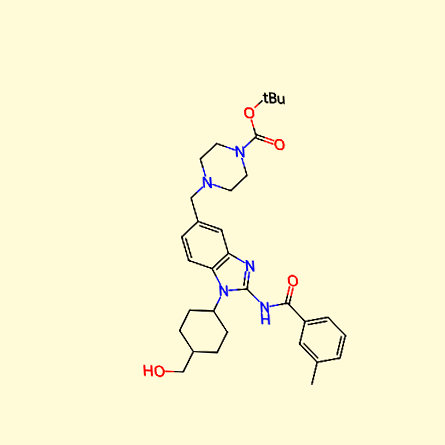 Cc1cccc(C(=O)Nc2nc3cc(CN4CCN(C(=O)OC(C)(C)C)CC4)ccc3n2C2CCC(CO)CC2)c1